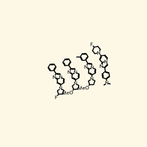 CN(C)c1ccc(-c2cn3ccc(N4CCC(F)CC4)cc3n2)cc1.COC1CCN(c2ccn3cc(-c4cccc(C)c4)nc3c2)C1.COC1CCN(c2ccn3cc(-c4ccccc4)nc3c2)C1.FC1CCN(c2ccn3cc(-c4ccccc4)nc3c2)C1